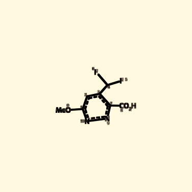 COc1cc(C(F)F)c(C(=O)O)nn1